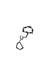 [c]1ccc(COC2CCCC2)cc1